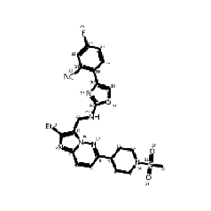 CCc1nc2ccc(C3CCN(S(C)(=O)=O)CC3)nn2c1CNc1nc(-c2ccc(F)cc2C#N)cs1